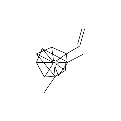 C=C[C]12[CH]3[CH]4[C]5(C)[CH]1[Fe]43521678[CH]2[CH]1[CH]6[C]7(C)[CH]28